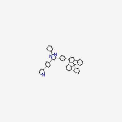 c1ccc(-c2nc(-c3ccc(-c4cccnc4)cc3)cc(-c3ccc(-c4ccc5c(c4)C(c4ccccc4)(c4ccccc4)c4ccccc4-5)cc3)n2)cc1